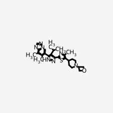 Cc1nc(-c2n[nH]c(-c3cn4ncnc4c(C)c3C)c2C(C)C)sc1C1CCN(C2COC2)CC1